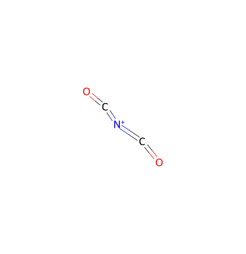 O=C=[N+]=C=O